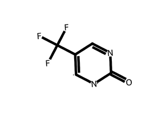 O=C1[N][C]=C(C(F)(F)F)C=N1